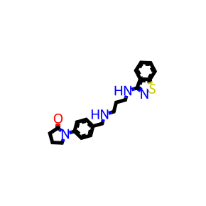 O=C1CCCN1c1ccc(CNCCCNc2nsc3ccccc23)cc1